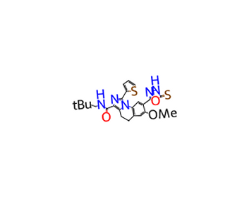 COc1cc2c(cc1-c1n[nH]c(=S)o1)-n1c(-c3cccs3)nc(C(=O)NCC(C)(C)C)c1CC2